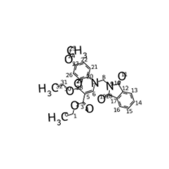 CCOC(=O)C(=CN(CN1C(=O)c2ccccc2C1=O)c1ccc(OC)cc1)C(=O)OCC